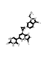 O=c1[nH]cc(-c2cc([C@H]3C[C@@H]3c3ccc4c(F)nn(CC(F)(F)F)c4c3)c3ncc(F)n3n2)c(=O)[nH]1